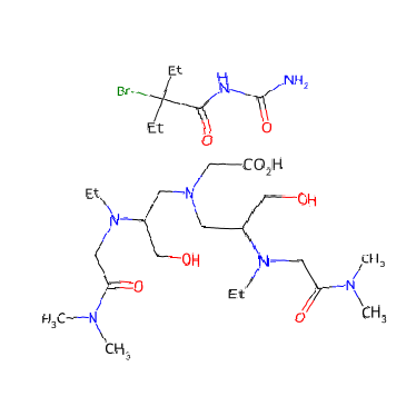 CCC(Br)(CC)C(=O)NC(N)=O.CCN(CC(=O)N(C)C)C(CO)CN(CC(=O)O)CC(CO)N(CC)CC(=O)N(C)C